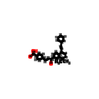 CC1(C)CC=C(C#Cc2ccccc2)c2ccc(C(=O)/C=C/c3ccc(C(=O)O)cc3)cc21